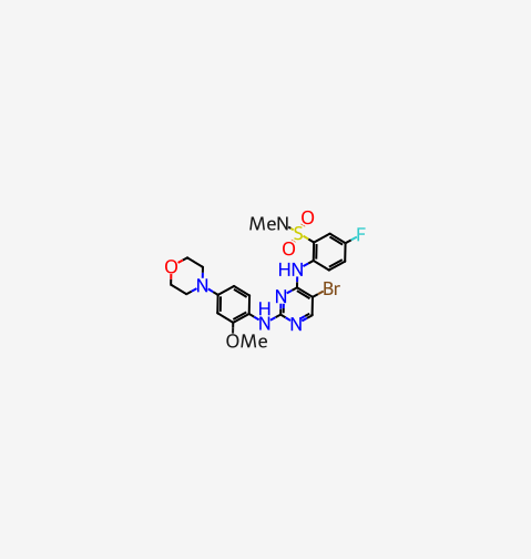 CNS(=O)(=O)c1cc(F)ccc1Nc1nc(Nc2ccc(N3CCOCC3)cc2OC)ncc1Br